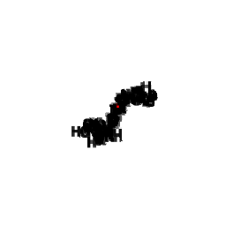 CC[C@H](NC(=O)OC)C(=O)N1CCC[C@H]1c1nc2ccc(-c3cnc(-c4ccc(-c5c[nH]c([C@@H]6CCCN6C(=O)[C@@H](NC(=O)O)C(C)C)n5)cc4)cn3)cc2[nH]1